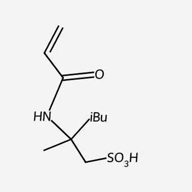 C=CC(=O)NC(C)(CS(=O)(=O)O)C(C)CC